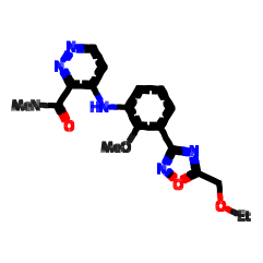 CCOCc1nc(-c2cccc(Nc3ccnnc3C(=O)NC)c2OC)no1